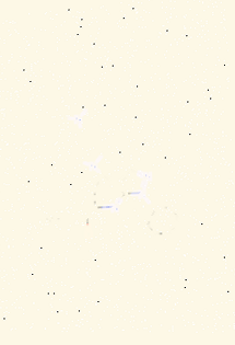 COC(=O)c1cc(N2CCC(N3CCCCC3)CC2)c2c(C3CCC3)nn(-c3ccc(F)cc3)c2n1